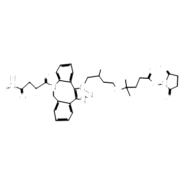 CC(CCOC(C)(C)CCC(=O)ON1C(=O)CCC1=O)Cn1nnc2c1-c1ccccc1N(C(=O)CCC(=O)NI)Cc1ccccc1-2